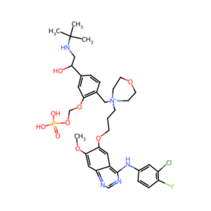 COc1cc2ncnc(Nc3ccc(F)c(Cl)c3)c2cc1OCCC[N+]1(Cc2ccc(C(O)CNC(C)(C)C)cc2OCOP(=O)(O)O)CCOCC1